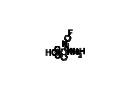 Nc1c(N=Nc2ccc(F)cc2)cc(S(=O)(=O)O)c2ccccc12.[NaH]